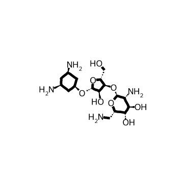 NC[C@@H]1O[C@H](O[C@H]2[C@@H](O)[C@H](O[C@@H]3C[C@H](N)C[C@H](N)C3)O[C@@H]2CO)[C@H](N)[C@@H](O)[C@@H]1O